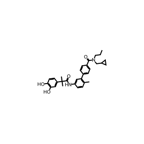 CCCN(CC1CC1)C(=O)c1ccc(-c2cc(NC(=O)C(C)(C)c3ccc(O)c(O)c3)ccc2C)cc1